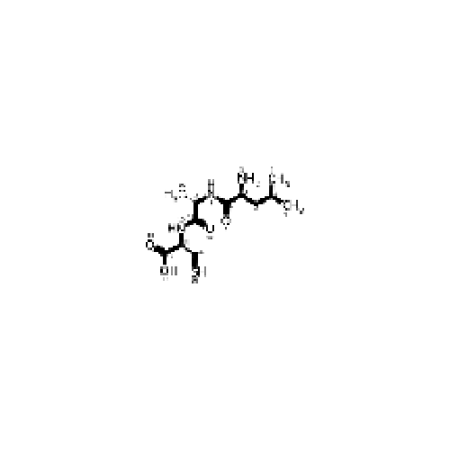 CC(C)C[C@H](N)C(=O)N[C@@H](C)C(=O)N[C@@H](CS)C(=O)O